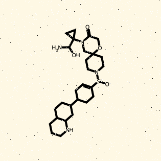 NC(O)C1(N2CC3(CCN([S+]([O-])C4=CCC(C5CCC6CCCNC6C5)CC4)CC3)OCC2=O)CC1